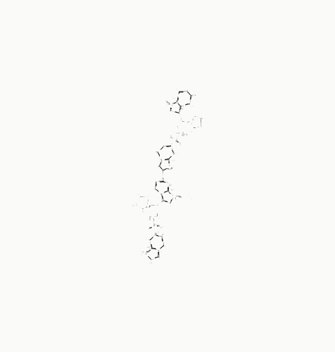 C[C@H]1CCCN1[C@@H](CNS(=O)(=O)c1ccc2cc(-c3ccc4c([C@@H](CNS(=O)(=O)c5ccc6cc[nH]c6c5)N5CCCC5)cn(C)c4n3)[nH]c2c1)c1cn(C)c2ccccc12